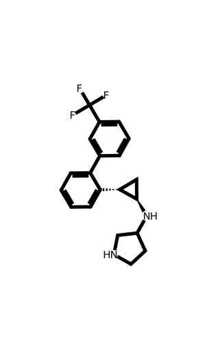 FC(F)(F)c1cccc(-c2ccccc2[C@@H]2C[C@H]2NC2CCNC2)c1